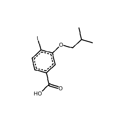 CC(C)COc1cc(C(=O)O)ccc1I